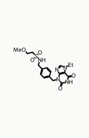 CCn1cnc2c1c(=O)[nH]c(=O)n2Cc1ccc(CNS(=O)(=O)CCOC)cc1